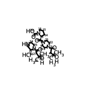 CC(C)(O)CC(=O)N1CCN(C(=O)[C@@H]2CCCN2C(=O)O)CC1.CC(C)(O)CC(=O)N1CCNCC1.Cl